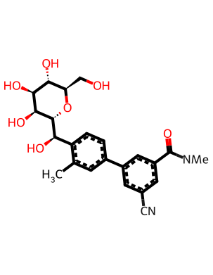 CNC(=O)c1cc(C#N)cc(-c2ccc([C@@H](O)[C@H]3O[C@H](CO)[C@@H](O)[C@H](O)[C@@H]3O)c(C)c2)c1